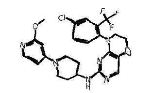 COc1cc(N2CCC(Nc3ncc4c(n3)N(c3ccc(Cl)cc3C(F)(F)F)CCO4)CC2)ccn1